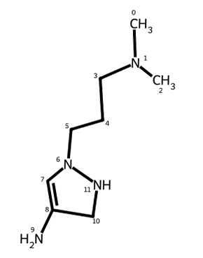 CN(C)CCCN1C=C(N)CN1